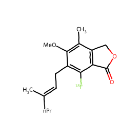 CCC/C(C)=C/Cc1c([18F])c2c(c(C)c1OC)COC2=O